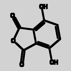 O=C1OC(=O)c2c(O)ccc(O)c21